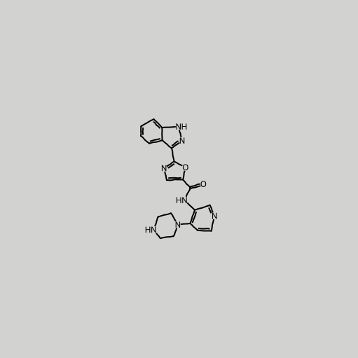 O=C(Nc1cnccc1N1CCNCC1)c1cnc(-c2n[nH]c3ccccc23)o1